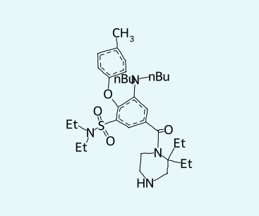 CCCCN(CCCC)c1cc(C(=O)N2CCNCC2(CC)CC)cc(S(=O)(=O)N(CC)CC)c1Oc1ccc(C)cc1